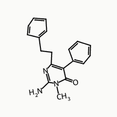 Cn1c(N)nc(CCc2ccccc2)c(-c2ccccc2)c1=O